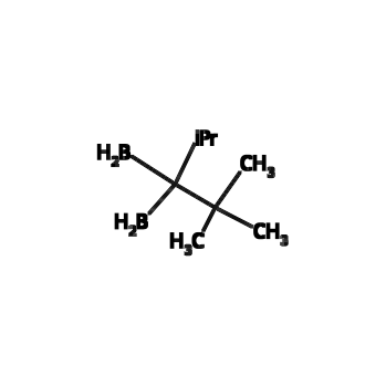 BC(B)(C(C)C)C(C)(C)C